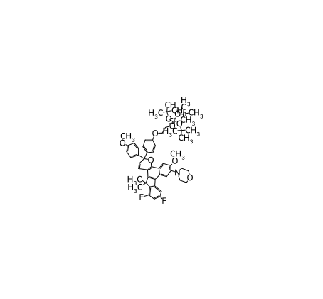 COc1ccc(C2(c3ccc(OCCO[Si](OC(C)(C)C)(OC(C)(C)C)OC(C)(C)C)cc3)C=Cc3c4c(c5cc(N6CCOCC6)c(OC)cc5c3O2)-c2cc(F)cc(F)c2C4(C)C)cc1